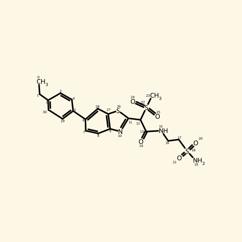 CCc1ccc(-c2ccc3nc(C(C(=O)NCCS(N)(=O)=O)S(C)(=O)=O)sc3c2)cc1